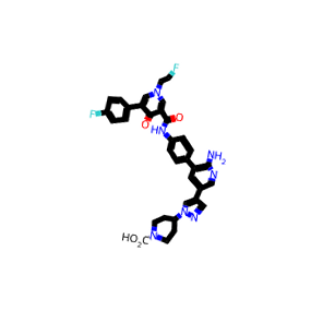 Nc1ncc(-c2cnn(C3CCN(C(=O)O)CC3)c2)cc1-c1ccc(NC(=O)c2cn(CCF)cc(-c3ccc(F)cc3)c2=O)cc1